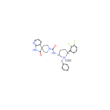 O=C(N[C@@H]1CC[C@@H](c2cccc(F)c2F)C[N+](Cc2ccccc2)(C(=O)[O-])C1)N1CCC2(CC1)C(=O)Nc1ncccc12